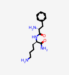 NCCCC[C@@H](NC(=O)[C@H](N)Cc1ccccc1)C(N)=O